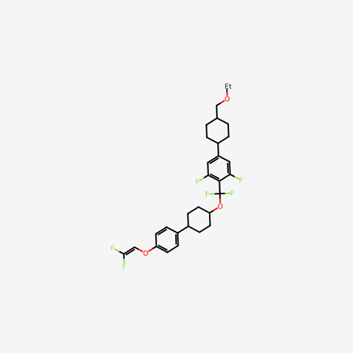 CCOCC1CCC(c2cc(F)c(C(F)(F)OC3CCC(c4ccc(OC=C(F)F)cc4)CC3)c(F)c2)CC1